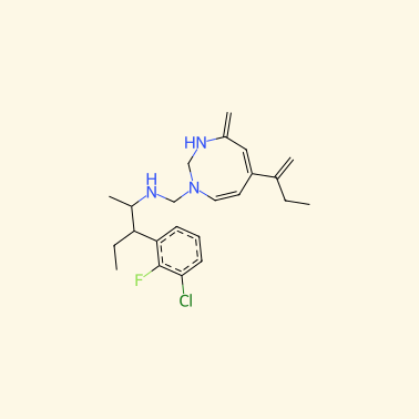 C=C1/C=C(C(=C)CC)\C=C/N(CNC(C)C(CC)c2cccc(Cl)c2F)CN1